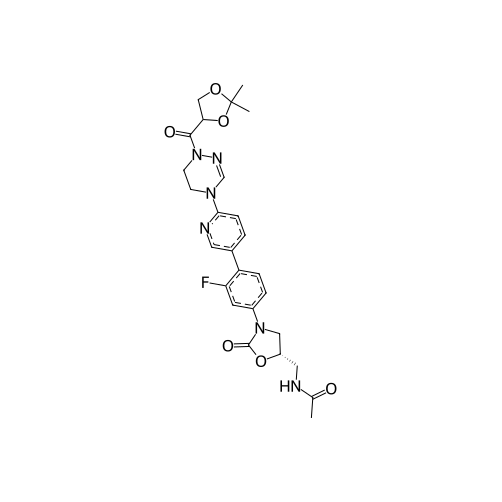 CC(=O)NC[C@H]1CN(c2ccc(-c3ccc(N4C=NN(C(=O)C5COC(C)(C)O5)CC4)nc3)c(F)c2)C(=O)O1